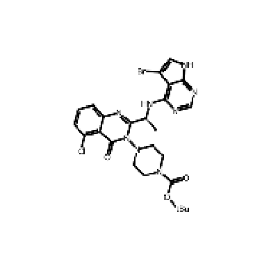 C[C@H](Nc1ncnc2[nH]cc(Br)c12)c1nc2cccc(Cl)c2c(=O)n1N1CCN(C(=O)OC(C)(C)C)CC1